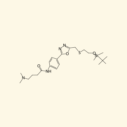 CN(C)CCCC(=O)Nc1ccc(-c2nnc(CSCCO[Si](C)(C)C(C)(C)C)o2)cc1